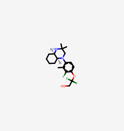 Cc1c(N2CC(C)(C)N[C@@H]3CCCC[C@@H]32)ccc(OC(F)(F)CO)c1F